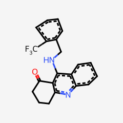 O=C1CCCc2nc3ccccc3c(NCc3ccccc3C(F)(F)F)c21